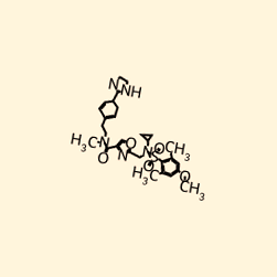 COc1cc(C)c(S(=O)(=O)N(Cc2nc(C(=O)N(C)CCC3=CCC(C4=NCCN4)C=C3)co2)C2CC2)c(C)c1